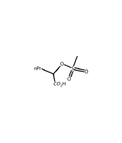 CCCC(OS(C)(=O)=O)C(=O)O